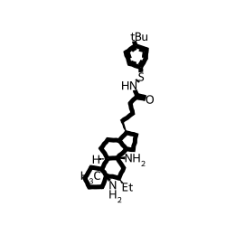 CC[C@H]1C[C@@]2(N)C3CC[C@H](CCCC(=O)NSc4ccc(C(C)(C)C)cc4)C3CC[C@@H]2[C@@]2(C)CCCC[C@@]12N